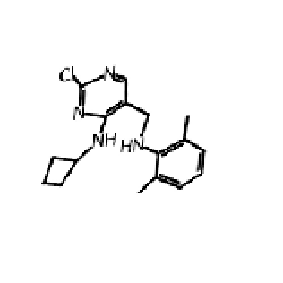 Cc1cccc(C)c1NCc1cnc(Cl)nc1NC1CCC1